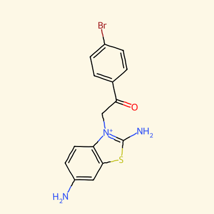 Nc1ccc2c(c1)sc(N)[n+]2CC(=O)c1ccc(Br)cc1